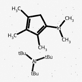 CC1=C(C)C(C)=[C]([In]([CH3])[CH3])C1.C[C](C)(C)[Al]([C](C)(C)C)[C](C)(C)C